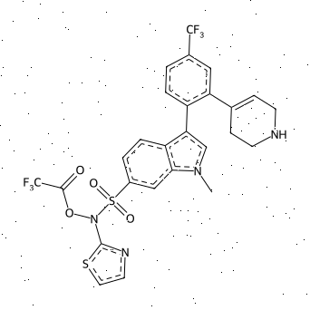 Cn1cc(-c2ccc(C(F)(F)F)cc2C2=CCNCC2)c2ccc(S(=O)(=O)N(OC(=O)C(F)(F)F)c3nccs3)cc21